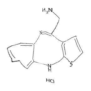 Cl.NCC1=Nc2ccccc2Nc2sccc21